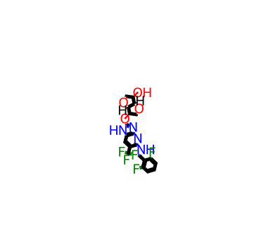 O[C@@H]1CO[C@H]2[C@@H]1OC[C@H]2Oc1nc2nc(NCc3c(F)cccc3F)c(C(F)(F)F)cc2[nH]1